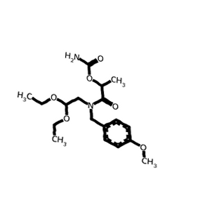 CCOC(CN(Cc1ccc(OC)cc1)C(=O)C(C)OC(N)=O)OCC